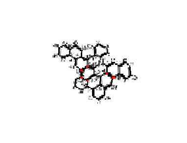 c1ccc(N(c2ccc3ccccc3c2)c2ccccc2-c2cccc3cccc(C4CCCCC4)c23)c(-c2cccc3c2ccc2ccccc23)c1